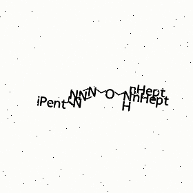 CCCCCCCC(CCCCCCC)NCCCOCCCN1CCN(c2ncc(C(C)CCC)cn2)CC1